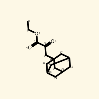 CCOC(=O)C(=O)CC12CC3CC(CC(C3)C1)C2